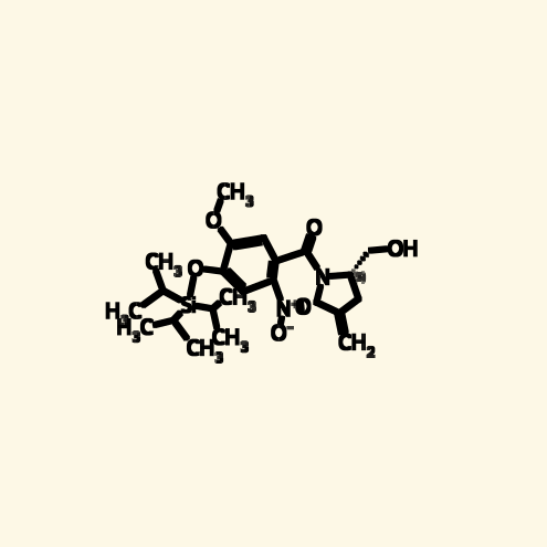 C=C1C[C@@H](CO)N(C(=O)c2cc(OC)c(O[Si](C(C)C)(C(C)C)C(C)C)cc2[N+](=O)[O-])C1